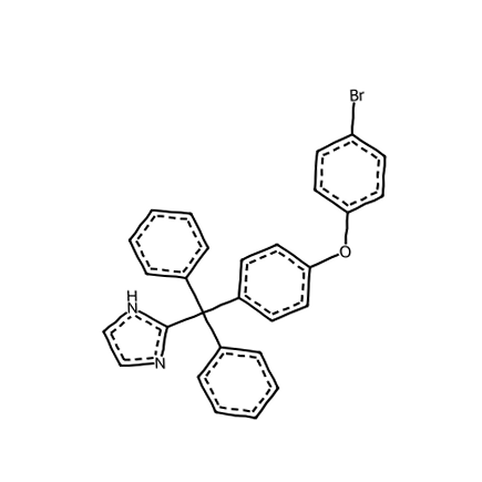 Brc1ccc(Oc2ccc(C(c3ccccc3)(c3ccccc3)c3ncc[nH]3)cc2)cc1